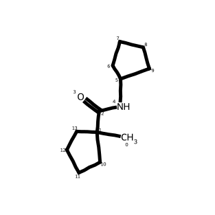 CC1(C(=O)NC2CCCC2)CCCC1